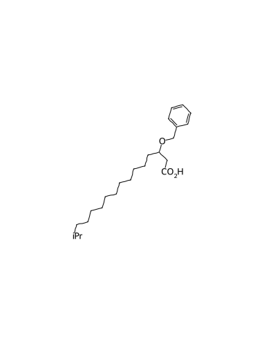 CC(C)CCCCCCCCCCCC(CC(=O)O)OCc1ccccc1